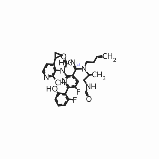 C=CCCN(/C(=N/C)c1cc(F)c(-c2c(O)cccc2F)nc1N(C=O)c1c(C2CC2)ccnc1C)C(C)CNC=O